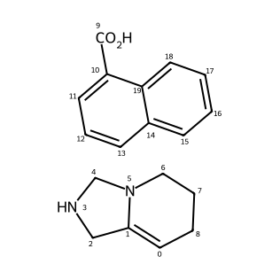 C1=C2CNCN2CCC1.O=C(O)c1cccc2ccccc12